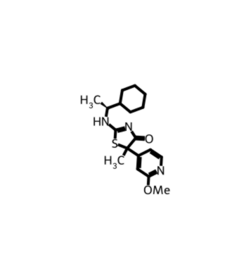 COc1cc(C2(C)SC(N[C@@H](C)C3CCCCC3)=NC2=O)ccn1